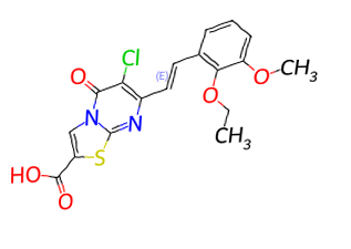 CCOc1c(/C=C/c2nc3sc(C(=O)O)cn3c(=O)c2Cl)cccc1OC